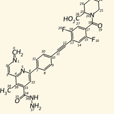 C=N/C=C\c1nc(-c2ccc(C#Cc3cc(F)c(C(=O)N4CCCCC4C(=O)O)cc3F)cc2)cc(C(=O)NN)c1C